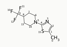 Cc1[c]nc(N2CCC(C(F)(F)F)CC2)s1